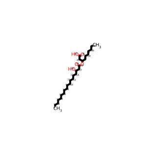 CCCCCCCCCCCCCCCC(O)CC(=O)OC(CCCCCCC)CC(=O)O